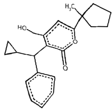 CC1(c2cc(O)c(C(c3ccccc3)C3CC3)c(=O)o2)CCCC1